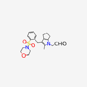 Cc1c(Cc2ccccc2S(=O)(=O)N2CCOCC2)c2c(n1CC=O)CCC2